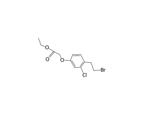 CCOC(=O)COc1ccc(CCBr)c(Cl)c1